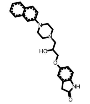 O=C1Cc2cc(OCC(O)CN3CCN(c4ccc5ccccc5c4)CC3)ccc2N1